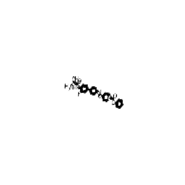 CN(C)C(=O)Nc1ccc(C2CCC(=NOC3CCN(C(=O)Oc4ccccc4)CC3)CC2)cc1F